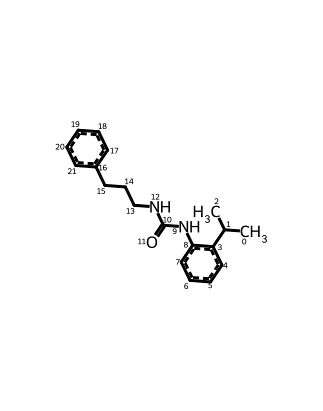 CC(C)c1ccccc1NC(=O)NCCCc1ccccc1